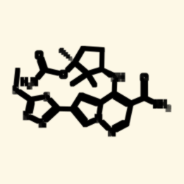 CSc1nnc(-c2cc3c(N[C@@H]4CC[C@](C)(OC(N)=O)C4(C)C)c(C(N)=O)cnn3c2)s1